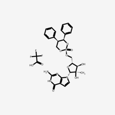 C[C@@]1(O)[C@H](O)[C@@H](CO[P@@]2(=O)OC[C@@H](c3ccccc3)[C@@H](c3ccccc3)O2)O[C@H]1n1ccc2c(=O)[nH]c(N)nc21.O=C(O)C(F)(F)F